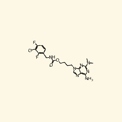 CN(C)c1nc(N)c2ncn(CCCCOC(=O)NCc3ccc(F)c(Cl)c3F)c2n1